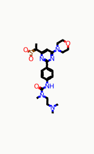 CC(c1cc(N2CCOCC2)nc(-c2ccc(NC(=O)N(C)CCN(C)C)cc2)n1)=S(=O)=O